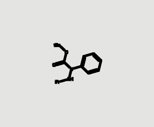 CC(C)NN(C(=O)OC(C)(C)C)c1ccccc1